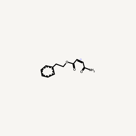 NC(=O)/C=C\C(=O)OCCc1ccccc1